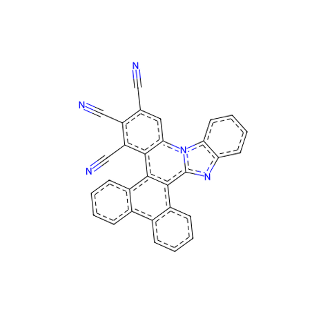 N#Cc1cc2c(c(C#N)c1C#N)c1c3ccccc3c3ccccc3c1c1nc3ccccc3n21